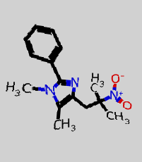 Cc1c(CC(C)(C)[N+](=O)[O-])nc(-c2ccccc2)n1C